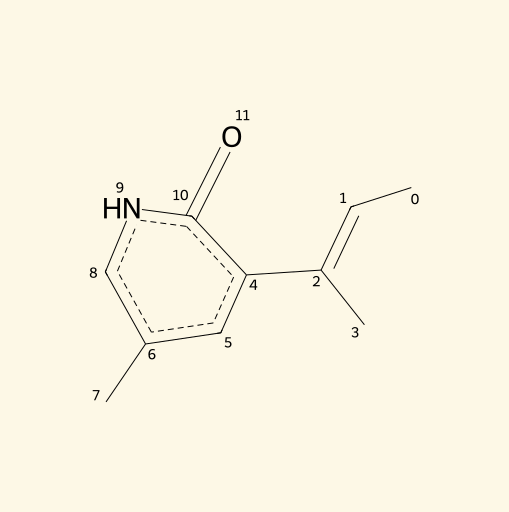 CC=C(C)c1cc(C)c[nH]c1=O